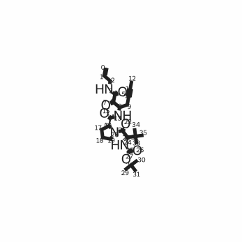 C=CCNC(=O)C(=O)C(CC#CC)NC(=O)[C@@H]1CCCN1C(=O)C(NC(=O)OC(C)(C)C)C(C)(C)C